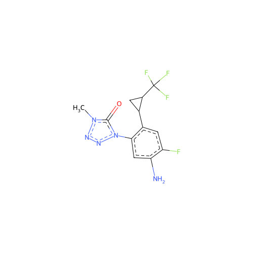 Cn1nnn(-c2cc(N)c(F)cc2C2CC2C(F)(F)F)c1=O